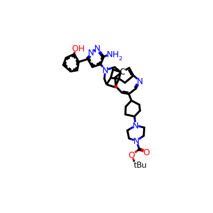 CC(C)(C)OC(=O)N1CCN(C2CCC(C3=C/CCC/C=C(CC45CC6CN(c7cc(-c8ccccc8O)nnc7N)CC4CC65)/N=C\3)CC2)CC1